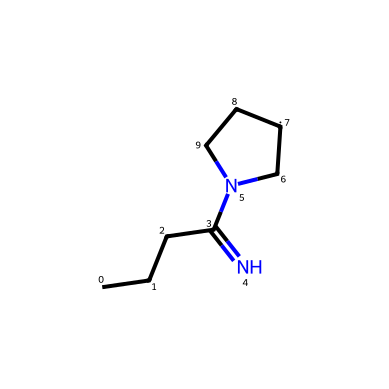 CCCC(=N)N1C[CH]CC1